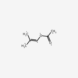 CC(=O)OC=C(C)C